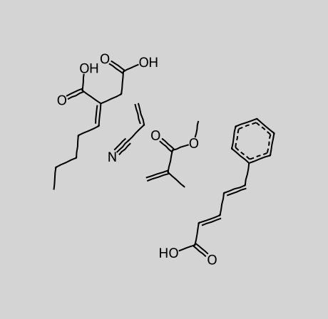 C=C(C)C(=O)OC.C=CC#N.CCCCC=C(CC(=O)O)C(=O)O.O=C(O)C=CC=Cc1ccccc1